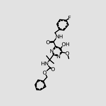 COc1nc(C(C)(C)NC(=O)OCc2ccccc2)nc(C(=O)NCc2ccc(F)cc2)c1O